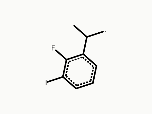 [CH2]C(C)c1cccc(I)c1F